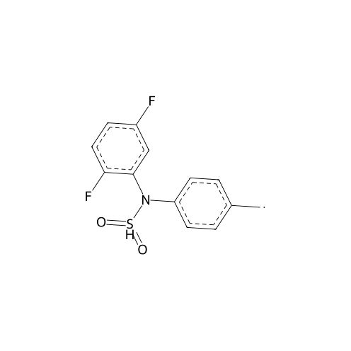 [CH2]c1ccc(N(c2cc(F)ccc2F)[SH](=O)=O)cc1